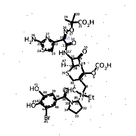 CC[N+](C=O)(CC1=C(OC(=O)O)N2C(=O)C(NC(=O)/C(=N\OC(C)(C)C(=O)O)c3csc(N)n3)[C@@H]2SC1)[C@@H]1CCCN1C(=O)c1cc(O)c(O)c(Br)c1